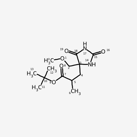 COCC1(CC(C)C(=O)OC(C)(C)C)NC(=O)NC1=O